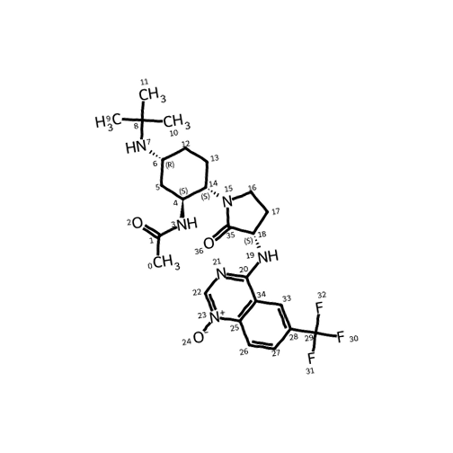 CC(=O)N[C@H]1C[C@H](NC(C)(C)C)CC[C@@H]1N1CC[C@H](Nc2nc[n+]([O-])c3ccc(C(F)(F)F)cc23)C1=O